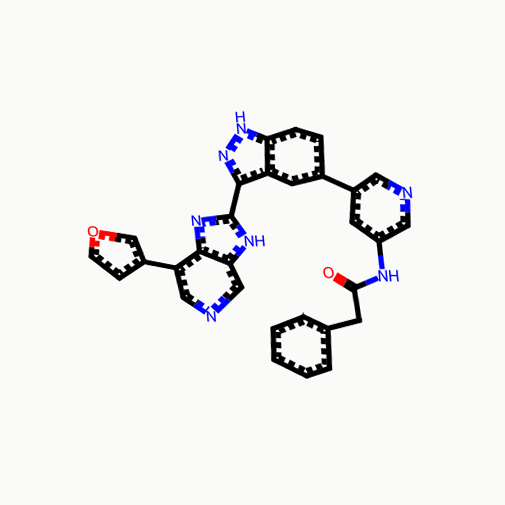 O=C(Cc1[c]cccc1)Nc1cncc(-c2ccc3[nH]nc(-c4nc5c(-c6ccoc6)cncc5[nH]4)c3c2)c1